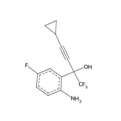 Nc1ccc(F)cc1C(O)(C#CC1CC1)C(F)(F)F